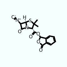 [C-]#[N+]C1C(=O)N2[C@@H]1SC(C)(C)[C@@H]2C(=O)OC1OC(=O)c2ccccc21